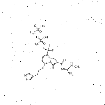 CNC(N)=NC(=O)c1cc2c(C(F)(F)F)ccc(OCCn3ccnc3)c2[nH]1.CS(=O)(=O)O.CS(=O)(=O)O